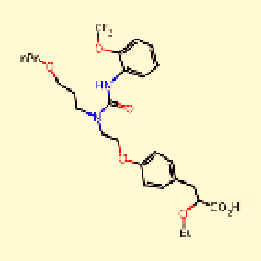 CCCOCCCN(CCOc1ccc(CC(OCC)C(=O)O)cc1)C(=O)Nc1ccccc1OC(F)(F)F